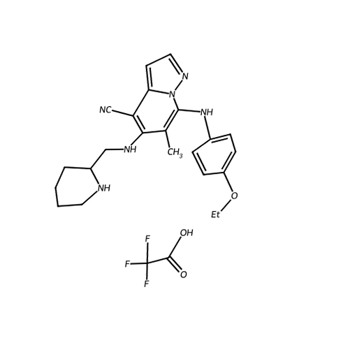 CCOc1ccc(Nc2c(C)c(NCC3CCCCN3)c(C#N)c3ccnn23)cc1.O=C(O)C(F)(F)F